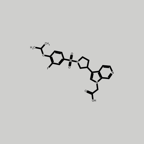 CC(C)Oc1ccc(S(=O)(=O)N2CCC(c3cn(CC(=O)O)c4cnccc34)C2)cc1F